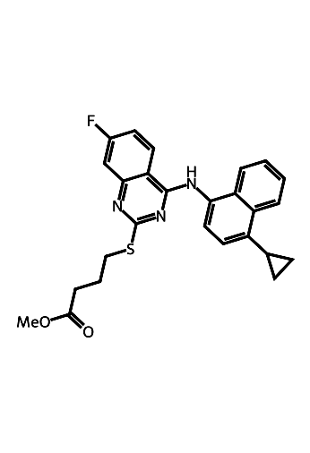 COC(=O)CCCSc1nc(Nc2ccc(C3CC3)c3ccccc23)c2ccc(F)cc2n1